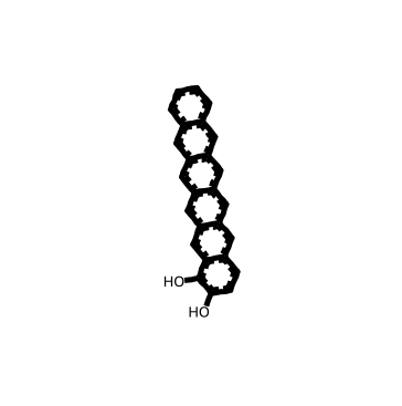 Oc1ccc2cc3cc4cc5cc6ccccc6cc5cc4cc3cc2c1O